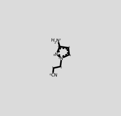 N#CCCn1ccc(N)n1